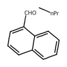 CCCC.O=Cc1cccc2ccccc12